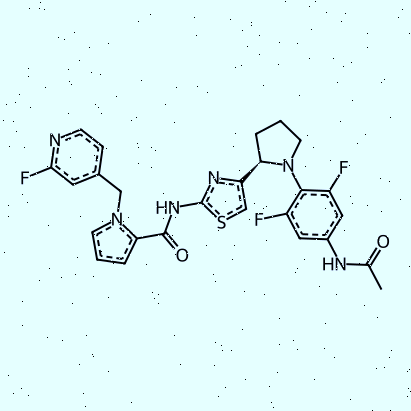 CC(=O)Nc1cc(F)c(N2CCC[C@@H]2c2csc(NC(=O)c3cccn3Cc3ccnc(F)c3)n2)c(F)c1